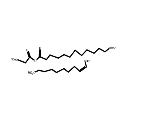 CCCCCCCC/C=C\CCCCCCCC(=O)O.CCCCCCCCCCCCCCCCCCCCCC(=O)OC(=O)CCCCCCCCCCC